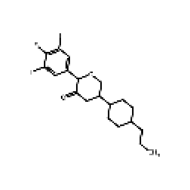 CCCC1CCC(C2COC(c3cc(F)c(F)c(F)c3)C(=O)C2)CC1